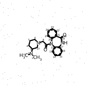 CN(C)C1CCCN(CC(=O)N2c3ccccc3NC(=O)c3ccccc32)C1